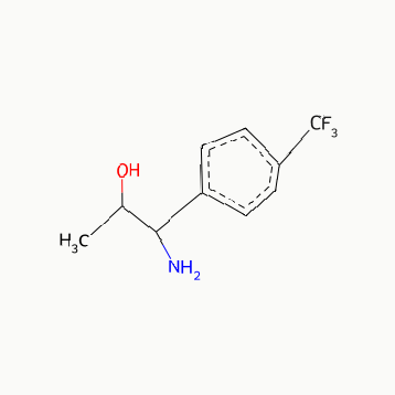 CC(O)C(N)c1ccc(C(F)(F)F)cc1